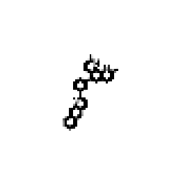 Cc1ccc2cc(-c3cccc(-c4ccc5cc6ccccc6cc5n4)c3)c3ccc(C)nc3c2n1